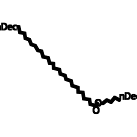 CCCCCCCCCCCCCCCCCCCCCCCCCCCCCCCCCCCCC(=O)OCCCCCCCCCCCCCCC